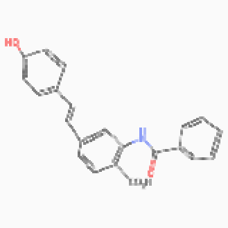 O=C(Nc1cc(C=Cc2ccc(O)cc2)ccc1C(=O)O)c1ccccc1